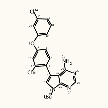 CC(C)(C)n1cc(-c2ccc(Oc3cccc(Cl)c3)cc2Cl)c2c(N)ncnc21